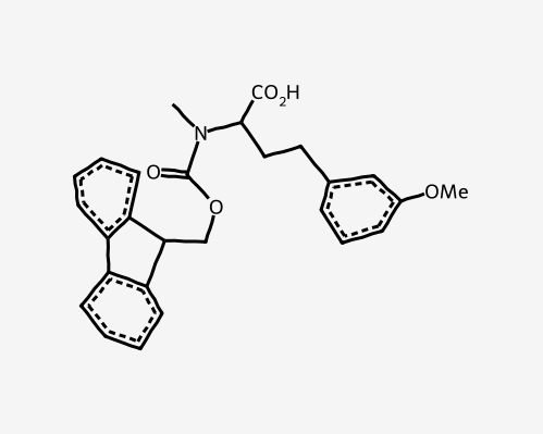 COc1cccc(CCC(C(=O)O)N(C)C(=O)OCC2c3ccccc3-c3ccccc32)c1